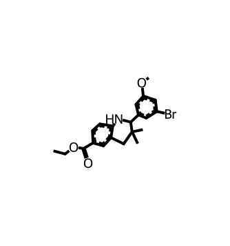 CCOC(=O)c1ccc2c(c1)CC(C)(C)C(c1cc(Br)cc(OC)c1)N2